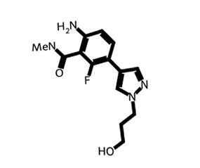 CNC(=O)c1c(N)ccc(-c2cnn(CCCO)c2)c1F